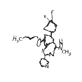 CCCCOc1cc(-c2ccc(F)c(F)c2)cc2c(NC)nc(-c3cccnc3)nc12